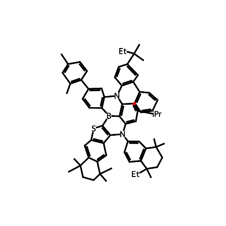 CCC(C)(C)c1ccc(N2c3cc(-c4ccc(C)cc4C)ccc3B3c4sc5cc6c(cc5c4N(c4ccc5c(c4)C(C)(C)CCC5(C)CC)c4cc(C(C)C)cc2c43)C(C)(C)CCC6(C)C)c(-c2ccccc2)c1